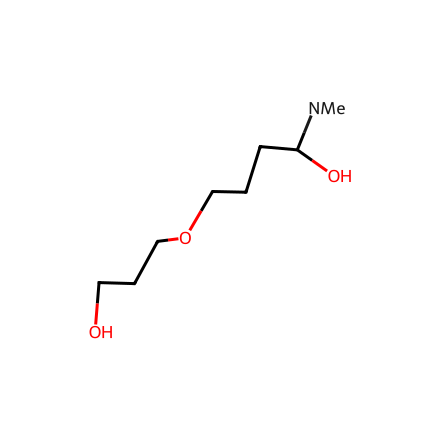 CNC(O)CCCOCCCO